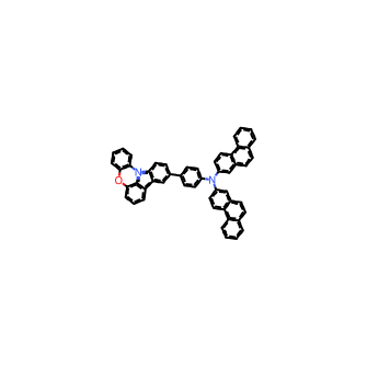 c1ccc2c(c1)Oc1cccc3c4cc(-c5ccc(N(c6ccc7c(ccc8ccccc87)c6)c6ccc7c(ccc8ccccc87)c6)cc5)ccc4n-2c13